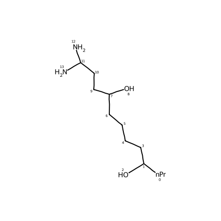 CCCC(O)CCCCC(O)CCC(N)N